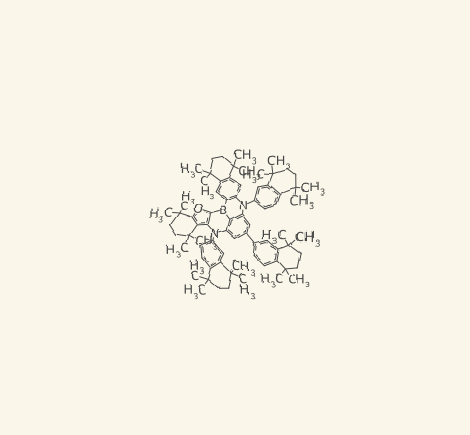 CC1(C)CCC(C)(C)c2cc(-c3cc4c5c(c3)N(c3ccc6c(c3)C(C)(C)CCC6(C)C)c3c(oc6c3C(C)(C)CCC6(C)C)B5c3cc5c(cc3N4c3ccc4c(c3)C(C)(C)CCC4(C)C)C(C)(C)CCC5(C)C)ccc21